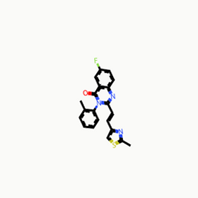 Cc1nc(C=Cc2nc3ccc(F)cc3c(=O)n2-c2ccccc2C)cs1